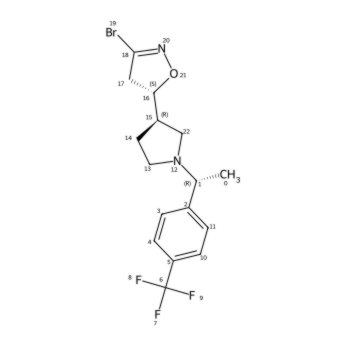 C[C@H](c1ccc(C(F)(F)F)cc1)N1CC[C@@H]([C@@H]2CC(Br)=NO2)C1